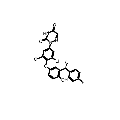 O=c1cnn(-c2cc(Cl)c(Oc3ccc(O)c([C@@H](O)c4ccc(F)cc4)c3)c(Cl)c2)c(=O)[nH]1